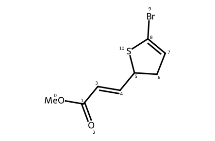 COC(=O)/C=C/C1CC=C(Br)S1